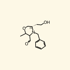 CC1OC[C@H](CCO)N(Cc2ccccc2)C1C=O